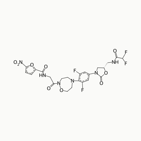 O=C(NCC(=O)N1CCN(c2c(F)cc(N3C[C@H](CNC(=O)C(F)F)OC3=O)cc2F)CCO1)c1ccc([N+](=O)[O-])o1